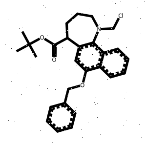 CC(C)(C)OC(=O)C1CCCN(CCl)c2c1cc(OCc1ccccc1)c1ccccc21